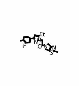 CCc1cc(-c2ccc(C)c(F)c2)nn1CC(=O)N1Cc2nc(C)sc2C1